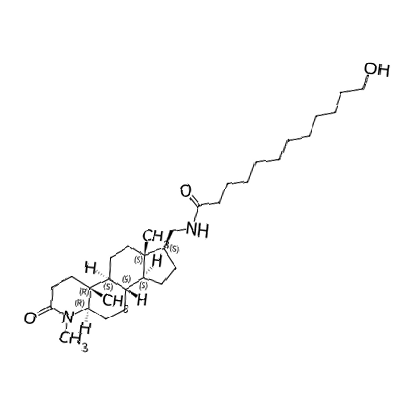 CN1C(=O)CC[C@]2(C)[C@H]3CC[C@]4(C)[C@@H](CNC(=O)CCCCCCCCCCCO)CC[C@H]4[C@@H]3CC[C@@H]12